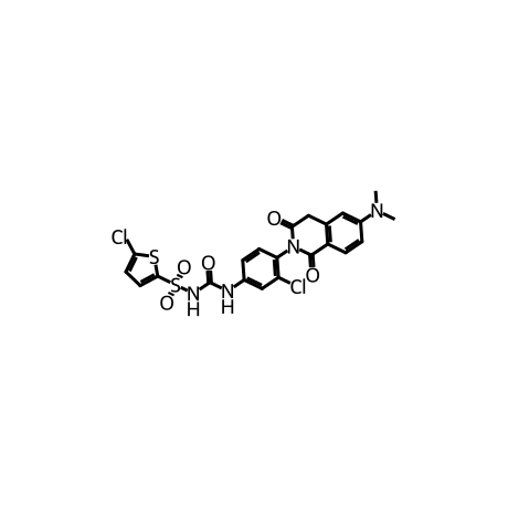 CN(C)c1ccc2c(c1)CC(=O)N(c1ccc(NC(=O)NS(=O)(=O)c3ccc(Cl)s3)cc1Cl)C2=O